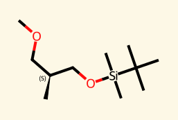 COC[C@H](C)CO[Si](C)(C)C(C)(C)C